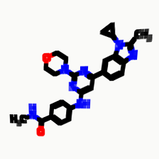 CNC(=O)c1ccc(Nc2cc(-c3ccc4nc(C)n(C5CC5)c4c3)nc(N3CCOCC3)n2)cc1